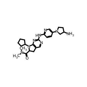 CN(C)C(=O)C1Cc2cnc(Nc3ccc(N4CCC(N)C4)cn3)nc2N1C1CCCC1